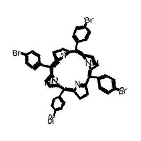 Brc1ccc(-c2c3nc(c(-c4ccc(Br)cc4)c4ccc([nH]4)c(-c4ccc(Br)cc4)c4nc(c(-c5ccc(Br)cc5)c5ccc2[nH]5)CC4)CC3)cc1